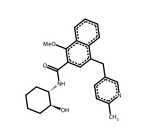 COc1c(C(=O)N[C@H]2CCCC[C@@H]2O)cc(Cc2ccc(C)nc2)c2ccccc12